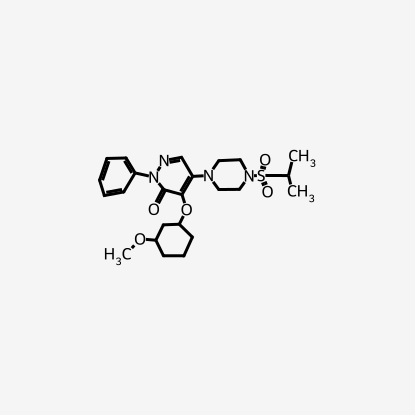 COC1CCCC(Oc2c(N3CCN(S(=O)(=O)C(C)C)CC3)cnn(-c3ccccc3)c2=O)C1